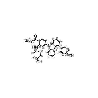 CC(C)(C)OC(=O)c1ccc(-n2c3ccccc3c3c(-c4ccc(C#N)nc4)cccc32)cc1NC1CCC(O)CC1